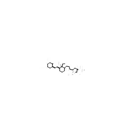 C=C1/C(=C\C=C2/CCC[C@]3(C)[C@@H]([C@H](C)CC4CC(C)(O)C(=O)N4C(C)C)CC[C@@H]23)C[C@@H](O)C[C@@H]1O